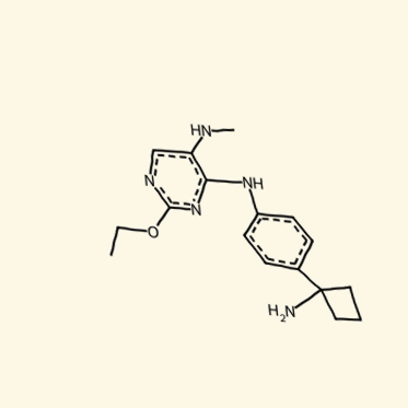 CCOc1ncc(NC)c(Nc2ccc(C3(N)CCC3)cc2)n1